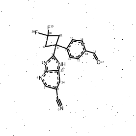 N#Cc1cnc2nc(C3(c4ccc(C=O)cc4)CC(F)(F)C3)[nH]c2c1